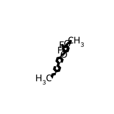 CCCC[C@H]1CC[C@H]([C@H]2CC[C@H](COc3ccc(OCC)c(F)c3F)CC2)CC1